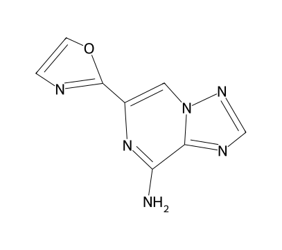 Nc1nc(-c2ncco2)cn2ncnc12